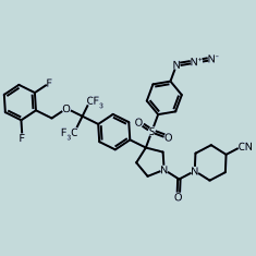 N#CC1CCN(C(=O)N2CCC(c3ccc(C(OCc4c(F)cccc4F)(C(F)(F)F)C(F)(F)F)cc3)(S(=O)(=O)c3ccc(N=[N+]=[N-])cc3)C2)CC1